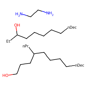 CCCCCCCCCCCCCCC(CCC)CCCO.CCCCCCCCCCCCCCCC(O)CC.NCCN